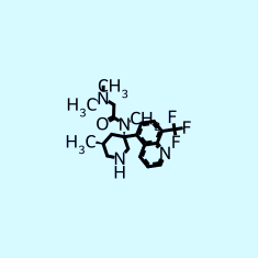 C[C@@H]1CNC[C@@](c2ccc(C(F)(F)F)c3ncccc23)(N(C)C(=O)CN(C)C)C1